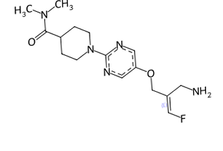 CN(C)C(=O)C1CCN(c2ncc(OC/C(=C/F)CN)cn2)CC1